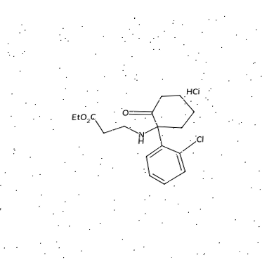 CCOC(=O)CCNC1(c2ccccc2Cl)CCCCC1=O.Cl